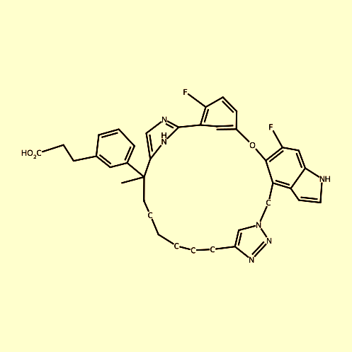 CC1(c2cccc(CCC(=O)O)c2)CCCCCCc2cn(nn2)Cc2c(c(F)cc3[nH]ccc23)Oc2ccc(F)c(c2)-c2ncc1[nH]2